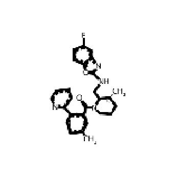 Cc1ccc(-c2ccccn2)c(C(=O)N2CCC[C@@H](C)C2CNc2nc3cc(F)ccc3o2)c1